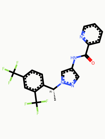 C[C@H](c1ccc(C(F)(F)F)cc1C(F)(F)F)n1cc(NC(=O)c2ccccn2)cn1